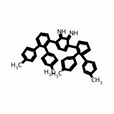 Cc1ccc(-c2cccc(C3=CC=C(c4cccc(-c5ccc(C)cc5)c4-c4ccc(C)cc4)C(=N)C3=N)c2-c2ccc(C)cc2)cc1